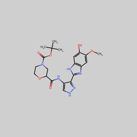 COc1cc2nc(-c3n[nH]cc3NC(=O)C3CN(C(=O)OC(C)(C)C)CCO3)[nH]c2cc1O